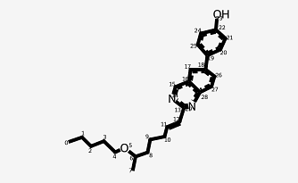 CCCCCOC(C)CCCC=Cc1ncc2cc(-c3ccc(O)cc3)ccc2n1